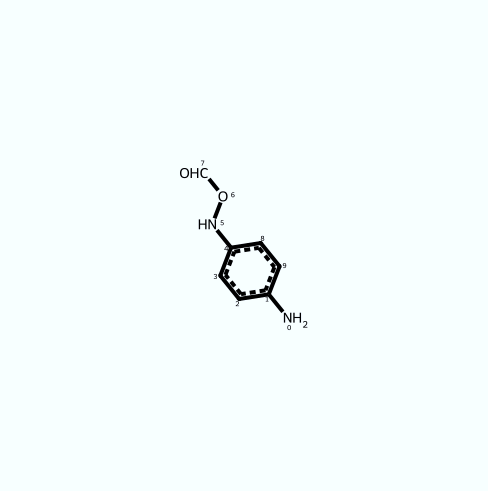 Nc1ccc(NOC=O)cc1